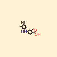 [C-]#[N+]c1ccc(Nc2ccc3c(c2)COB3O)cc1C